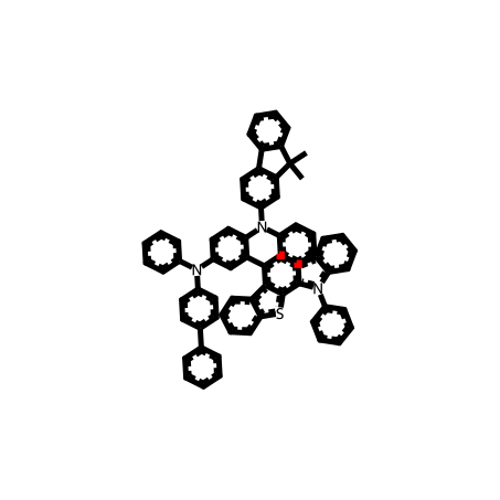 CC1(C)c2ccccc2-c2ccc(N(c3ccccc3)c3ccc(N(c4ccccc4)c4ccc(-c5ccccc5)cc4)cc3-c3cc4c5ccccc5n(-c5ccccc5)c4c4sc5ccccc5c34)cc21